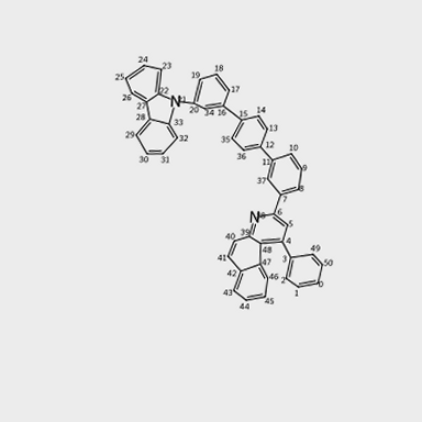 c1ccc(-c2cc(-c3cccc(-c4ccc(-c5cccc(-n6c7ccccc7c7ccccc76)c5)cc4)c3)nc3ccc4ccccc4c23)cc1